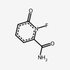 NC(=O)c1cccc(=O)n1F